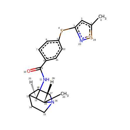 Cc1cc(Sc2ccc(C(=O)N[C@@H]3C4CCN(CC4)[C@H]3C)cc2)ns1